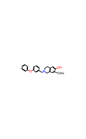 COc1cc2c(cc1O)CCN(Cc1cccc(Oc3ccccc3)c1)C2